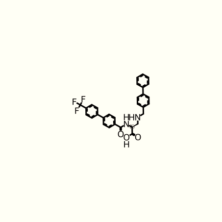 O=C(N[C@@H](CNCc1ccc(-c2ccccc2)cc1)C(=O)O)c1ccc(-c2ccc(C(F)(F)F)cc2)cc1